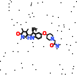 Cc1c(-c2[nH]c3ccc(OC4CCN(CC(=O)N(C)C)CC4)cc3c2C(C)C)cn(C)c(=O)c1C